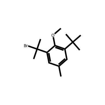 COc1c(C(C)(C)C)cc(C)cc1C(C)(C)Br